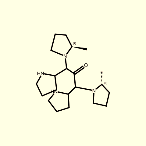 C[C@@H]1CCCN1C(C(=O)C(C1CCCN1)N1CCC[C@H]1C)C1CCCN1